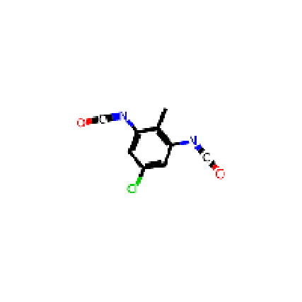 Cc1c(N=C=O)cc(Cl)cc1N=C=O